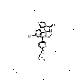 O=C(c1ccc(OCC(F)(F)F)nc1)N1CCN2C(=O)c3ccncc3C12c1ccc(Cl)cc1